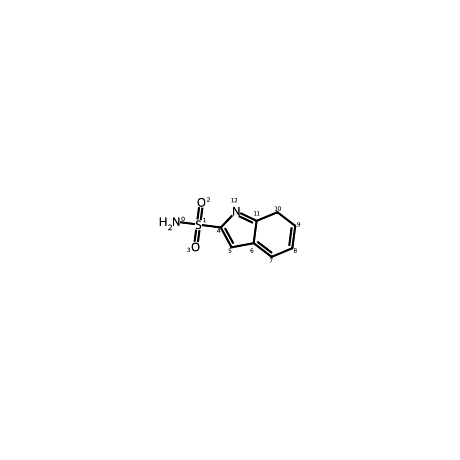 NS(=O)(=O)C1=CC2=CC=CCC2=N1